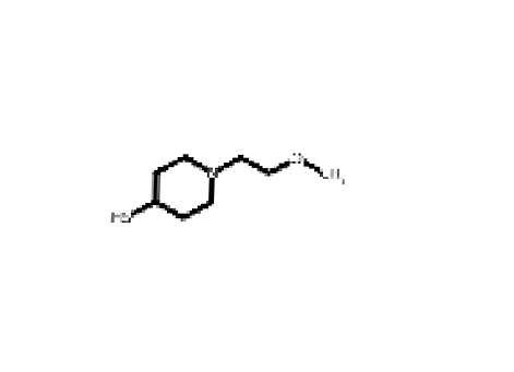 COCCN1CCC(S)CC1